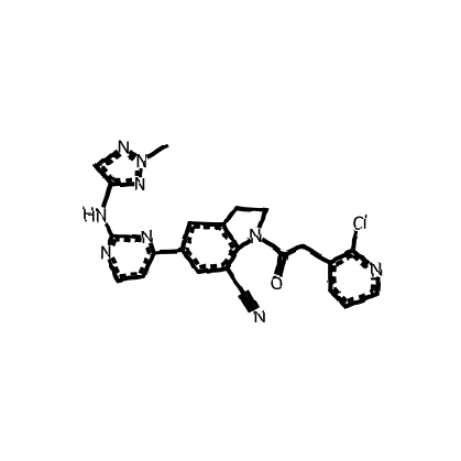 Cn1ncc(Nc2nccc(-c3cc(C#N)c4c(c3)CCN4C(=O)Cc3cccnc3Cl)n2)n1